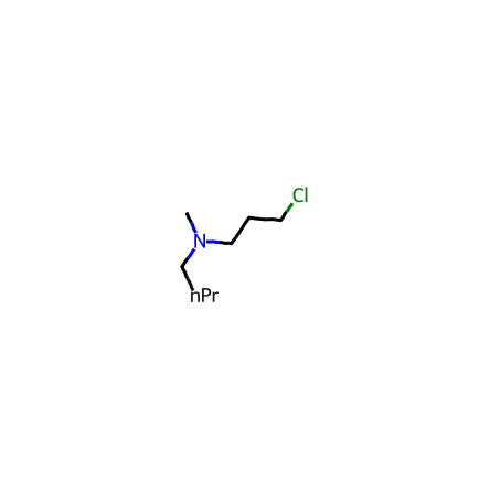 CCCCN(C)CCCCl